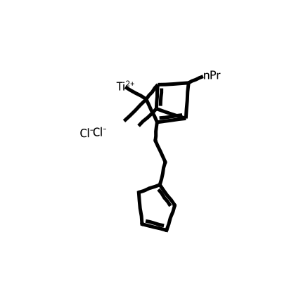 CCCC1C2=C(CCC3=CC=CC3)[C](C)([Ti+2])C1=C2C.[Cl-].[Cl-]